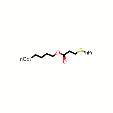 CCCCCCCCCCCCOC(=O)CCSCCC